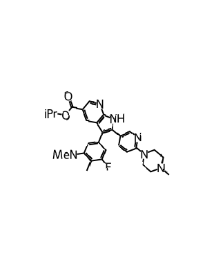 CNc1cc(-c2c(-c3ccc(N4CCN(C)CC4)nc3)[nH]c3ncc(C(=O)OC(C)C)cc23)cc(F)c1C